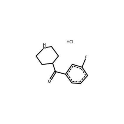 Cl.O=C(c1cccc(F)c1)C1CCNCC1